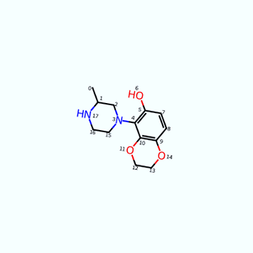 CC1CN(c2c(O)ccc3c2OCCO3)CCN1